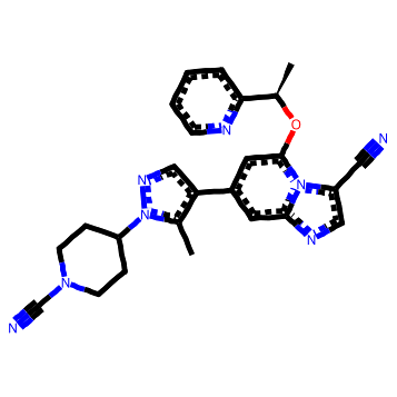 Cc1c(-c2cc(O[C@H](C)c3ccccn3)n3c(C#N)cnc3c2)cnn1C1CCN(C#N)CC1